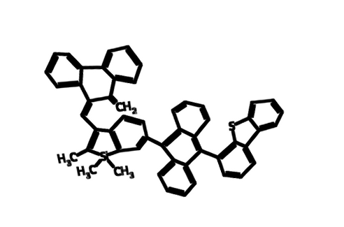 C=c1/c(=C\C2=C(C)[Si](C)(C)c3cc(-c4c5ccccc5c(-c5cccc6c5sc5ccccc56)c5ccccc45)ccc32)c2ccccc2c2ccccc12